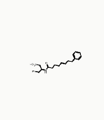 CC(C)CC(CC(=O)O)NC(=O)CCCCCCCc1ccccc1